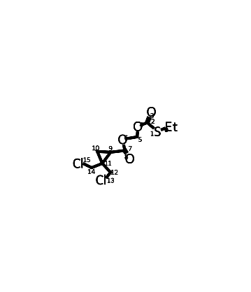 CCSC(=O)OCOC(=O)C1CC1(CCl)CCl